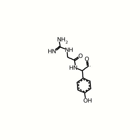 N=C(N)NCC(=O)NC([C]=O)c1ccc(O)cc1